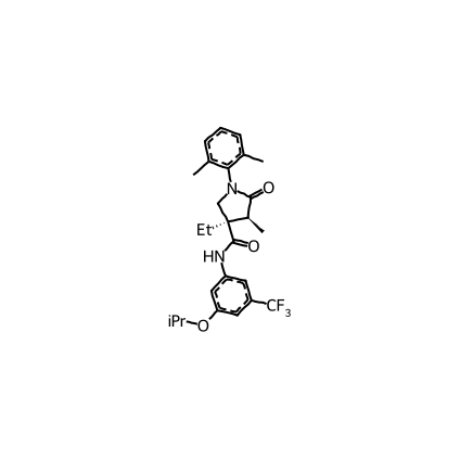 CC[C@]1(C(=O)Nc2cc(OC(C)C)cc(C(F)(F)F)c2)CN(c2c(C)cccc2C)C(=O)[C@H]1C